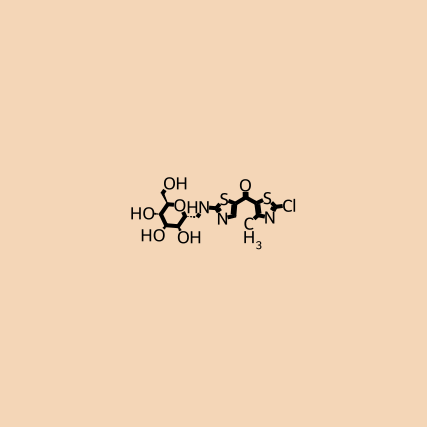 Cc1nc(Cl)sc1C(=O)c1cnc(NC[C@H]2O[C@H](CO)[C@@H](O)[C@H](O)[C@@H]2O)s1